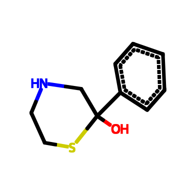 OC1(c2ccccc2)CNCCS1